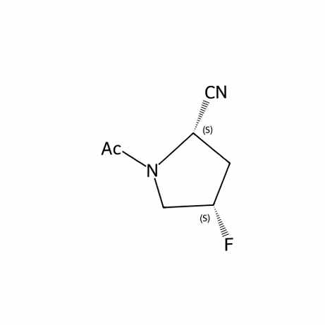 CC(=O)N1C[C@@H](F)C[C@H]1C#N